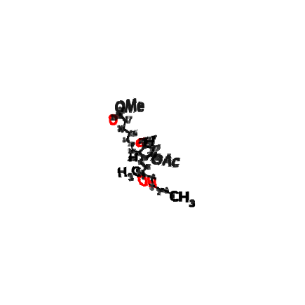 CC#CCCC(C)(O)/C=C/[C@@H]1[C@H]2C[C@H](CCCCC(=O)OC)O[C@H]2C[C@H]1OC(C)=O